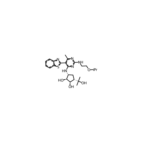 Cc1nc(NCCOC(C)C)nc(N[C@@H]2C[C@H](C(C)(C)O)[C@@H](O)[C@H]2O)c1-c1nc2ccccc2s1